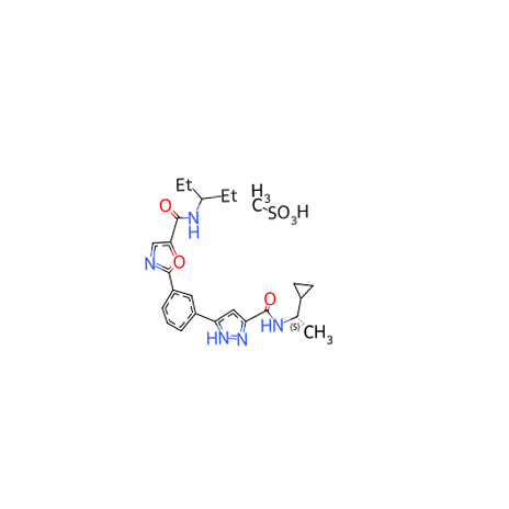 CCC(CC)NC(=O)c1cnc(-c2cccc(-c3cc(C(=O)N[C@@H](C)C4CC4)n[nH]3)c2)o1.CS(=O)(=O)O